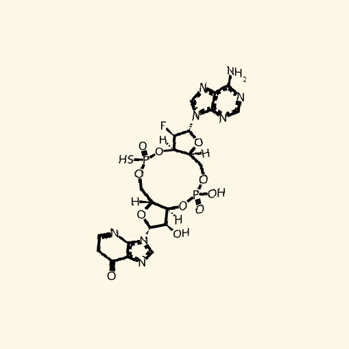 Nc1ncnc2c1ncn2[C@@H]1O[C@@H]2COP(=O)(O)O[C@H]3[C@@H](O)[C@H](n4cnc5c4N=CCC5=O)O[C@@H]3COP(=O)(S)O[C@H]2[C@H]1F